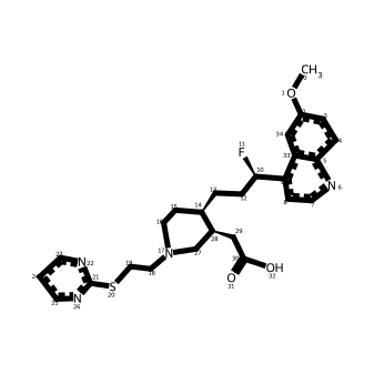 COc1ccc2nccc([C@H](F)CC[C@@H]3CCN(CCSc4ncccn4)C[C@@H]3CC(=O)O)c2c1